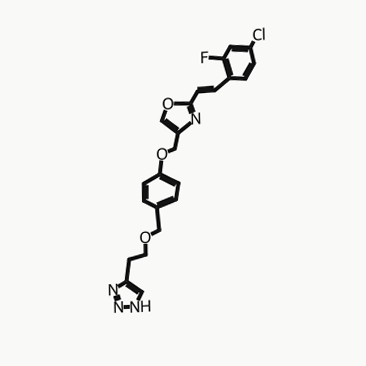 Fc1cc(Cl)ccc1C=Cc1nc(COc2ccc(COCCc3c[nH]nn3)cc2)co1